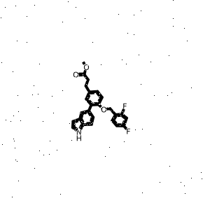 COC(=O)CCc1ccc(OCc2ccc(F)cc2F)c(-c2ccc3[nH]ccc3c2)c1